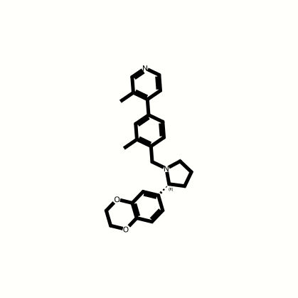 Cc1cc(-c2ccncc2C)ccc1CN1CCC[C@@H]1c1ccc2c(c1)OCCO2